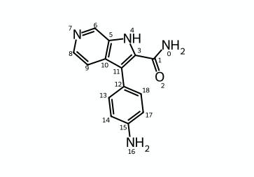 NC(=O)c1[nH]c2cnccc2c1-c1ccc(N)cc1